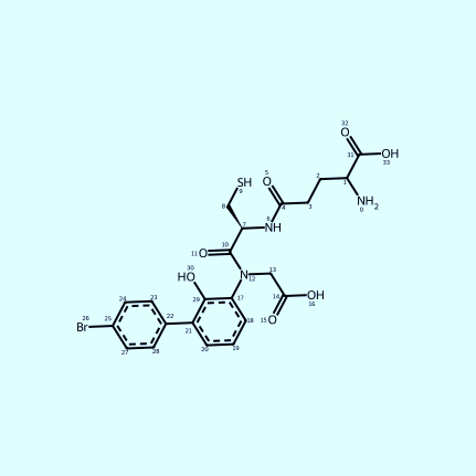 NC(CCC(=O)N[C@H](CS)C(=O)N(CC(=O)O)c1cccc(-c2ccc(Br)cc2)c1O)C(=O)O